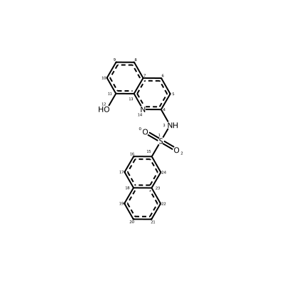 O=S(=O)(Nc1ccc2cccc(O)c2n1)c1ccc2ccccc2c1